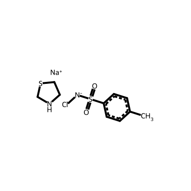 C1CSCN1.Cc1ccc(S(=O)(=O)[N-]Cl)cc1.[Na+]